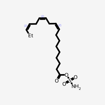 CC/C=C\C/C=C\C/C=C\CCCCCCCC(=O)OS(N)(=O)=O